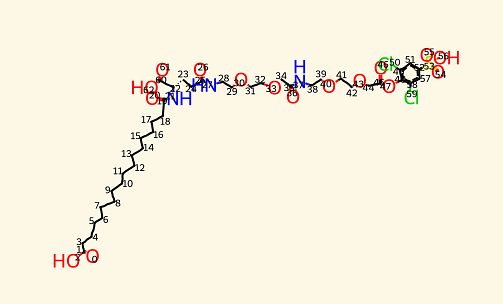 O=C(O)CCCCCCCCCCCCCCCCC(=O)N[C@@H](CCC(=O)NCCOCCOCC(=O)NCCOCCOCC(=O)Oc1c(Cl)cc(S(=O)(=O)O)cc1Cl)C(=O)O